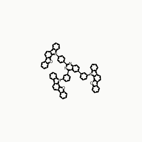 c1cc(-c2ccc3nc(-c4ccc(-n5c6ccccc6c6ccc7c8ccccc8oc7c65)cc4)nc(-c4cccc(-n5c6ccccc6c6ccc7c8ccccc8oc7c65)c4)c3c2)cc(-n2c3ccccc3c3ccc4c5ccccc5oc4c32)c1